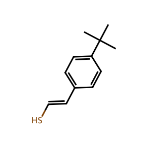 CC(C)(C)c1ccc(C=CS)cc1